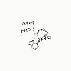 CNC[C@@H](O)[C@H](c1ccccc1)n1ccc2cccc(F)c21.Cl